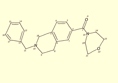 O=C(c1ccc2c(c1)CCN(Cc1ccccc1)C2)N1CCOCC1